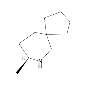 C[C@H]1CCC2(CCCC2)CN1